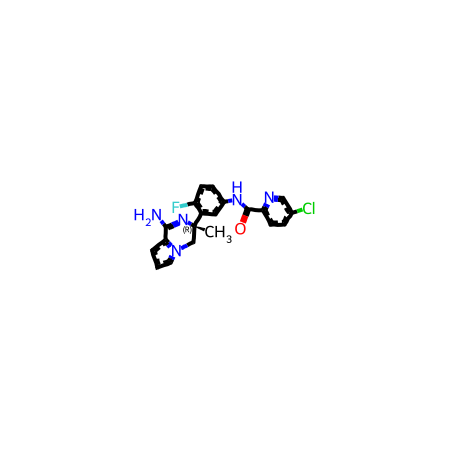 C[C@@]1(c2cc(NC(=O)c3ccc(Cl)cn3)ccc2F)Cn2cccc2C(N)=N1